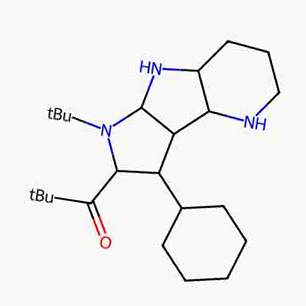 CC(C)(C)C(=O)C1C(C2CCCCC2)C2C3NCCCC3NC2N1C(C)(C)C